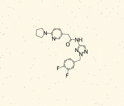 O=C(Cc1ccc(N2CCCC2)nc1)Nc1cnn(Cc2ccc(F)c(F)c2)n1